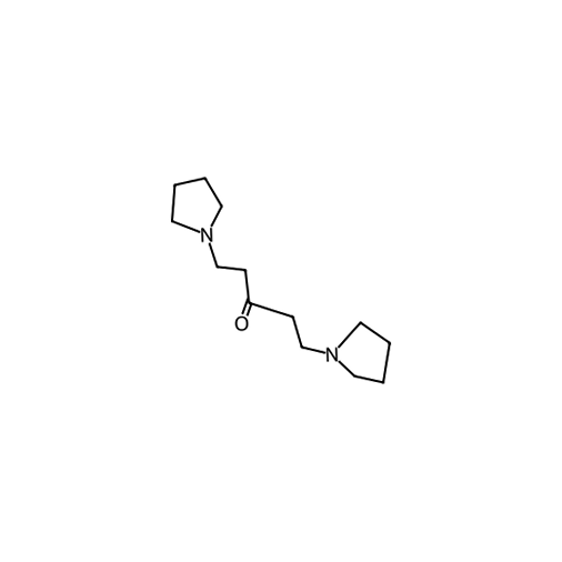 O=C(CCN1CCCC1)CCN1CCCC1